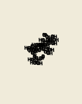 C[C@@H](O)[C@H](O)C(CO)O[C@@H](CO[C@H]1OC(COP=O)[C@@H](O)C(O)[C@H]1O)OCC1O[C@H](OCC2O[C@@H](O)[C@H](O)C(O[C@H]3OC(CO)[C@@H](O)[C@H](O)C3O[C@H]3OC(COP=O)[C@@H](O)C(O)[C@H]3O)[C@@H]2O)[C@H](O)C(O)[C@@H]1O